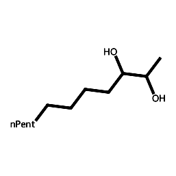 CCCCCCCCCC(O)C(C)O